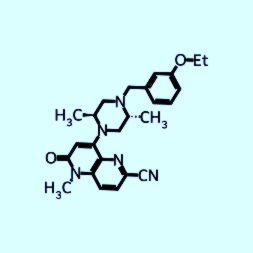 CCOc1cccc(CN2C[C@H](C)N(c3cc(=O)n(C)c4ccc(C#N)nc34)C[C@H]2C)c1